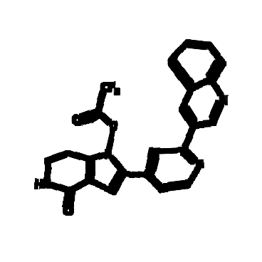 O=C1NCCc2c1cc(-c1ccnc(-c3cnc4ccccc4c3)c1)n2OC(=O)C(F)(F)F